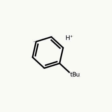 CC(C)(C)c1cc[c]cc1.[H+]